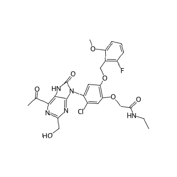 CCNC(=O)COc1cc(Cl)c(-n2c(=O)[nH]c3c(C(C)=O)nc(CO)nc32)cc1OCc1c(F)cccc1OC